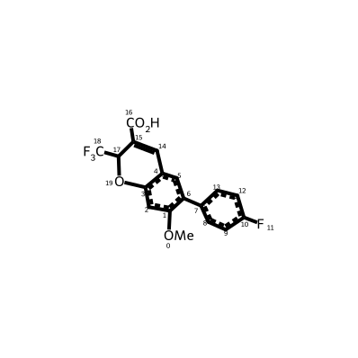 COc1cc2c(cc1-c1ccc(F)cc1)C=C(C(=O)O)C(C(F)(F)F)O2